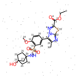 CCOC(=O)c1nn2c(-c3ccc(OC)c(S(=O)(=O)NC45CCC(O)(CC4)C5)c3)c(C)nc2s1